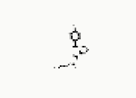 NCCCCC(NC(=O)[C@@H]1CCCN1C(=O)c1ccc(N)cc1)C(=O)O